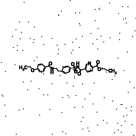 CCCOC(=O)c1ccc(C(=O)NS(=O)(=O)c2ccc(CCNC(=O)c3ccc(OCC)cc3)cc2)cn1